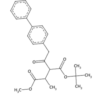 COC(=O)C(C)C(C(=O)Cc1ccc(-c2ccccc2)cc1)C(=O)OC(C)(C)C